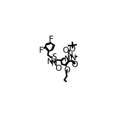 CCCCOc1c(=O)c(-c2nnc(Cc3ccc(F)cc3F)s2)cn2c1c(=O)n(C)n2C(=O)OC(C)(C)C